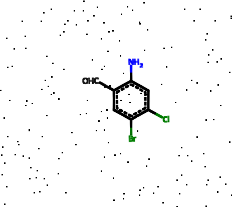 Nc1cc(Cl)c(Br)cc1C=O